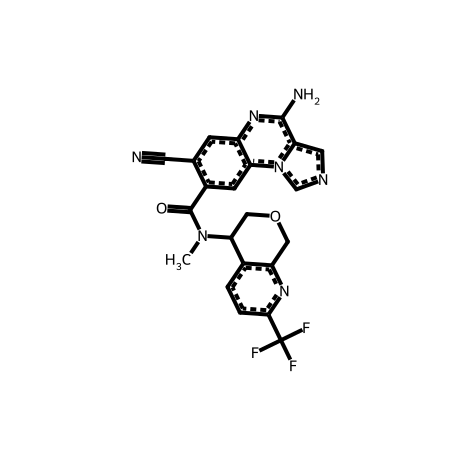 CN(C(=O)c1cc2c(cc1C#N)nc(N)c1cncn12)C1COCc2nc(C(F)(F)F)ccc21